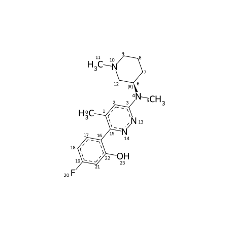 Cc1cc(N(C)[C@@H]2CCCN(C)C2)nnc1-c1ccc(F)cc1O